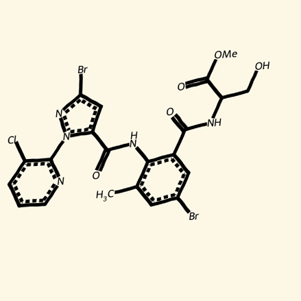 COC(=O)C(CO)NC(=O)c1cc(Br)cc(C)c1NC(=O)c1cc(Br)nn1-c1ncccc1Cl